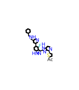 CC(=O)c1ccc(-c2nccc3[nH]c(-c4n[nH]c5ccc(-c6cncc(CNCc7ccccc7)c6)c(F)c45)nc23)s1